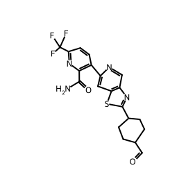 NC(=O)c1nc(C(F)(F)F)ccc1-c1cc2sc(C3CCC(C=O)CC3)nc2cn1